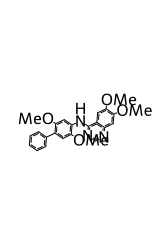 COc1cc(-c2ccccc2)c(OC)cc1Nc1ncnc2cc(OC)c(OC)cc12